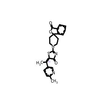 C/C(=C1\SC(N2CCC3(CC2)OC(=O)c2ccccc23)=NC1=O)c1ccc(C)nc1